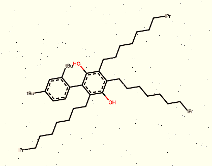 CC(C)CCCCCCCc1c(O)c(CCCCCCCC(C)C)c(-c2ccc(C(C)(C)C)cc2C(C)(C)C)c(O)c1CCCCCCCC(C)C